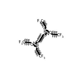 FC(F)(F)C(F)(F)C(F)(F)C(F)(F)COc1cc(OCC(F)(F)C(F)(F)C(F)(F)C(F)(F)F)nc(OCC(F)(F)C(F)(F)C(F)(F)C(F)(F)COc2nc(OCC(F)(F)C(F)(F)C(F)(F)C(F)(F)F)cc(OCC(F)(F)C(F)(F)C(F)(F)C(F)(F)F)n2)n1